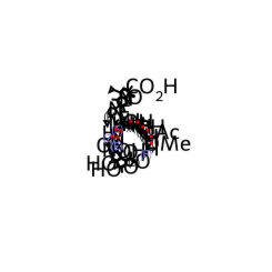 CO[C@H]1/C=C/O[C@@]2(C)Oc3c(C)c(O)c4c(O)c(c(/C=N/N5CCC(N(C)C6([C@@H]7CCN(c8c(F)cn9c(=O)c(C(=O)O)cc(C%10CC%10)c9c8C)C7)CC6)CC5)c(O)c4c3C2=O)NC(=O)/C(C)=C\C=C\[C@H](C)[C@H](O)[C@@H](C)[C@@H](O)[C@@H](C)[C@H](OC(C)=O)[C@@H]1C